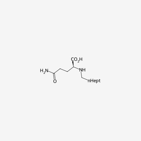 CCCCCCCCN[C@@H](CCC(N)=O)C(=O)O